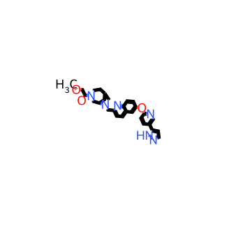 COCC(=O)N1CCC2CC(C1)N(Cc1ccc3cc(Oc4ccc(-c5ccn[nH]5)cn4)ccc3n1)C2